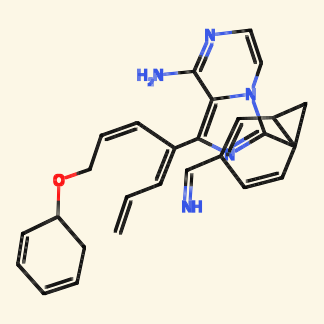 C=C/C=C(\C=C/COC1C=CC=CC1)c1nc(C23C=CC(C=N)=CC2C3)n2ccnc(N)c12